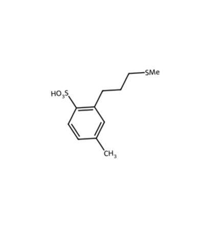 CSCCCc1cc(C)ccc1S(=O)(=O)O